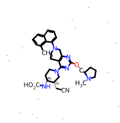 Cc1cccc2cccc(N3CCc4c(nc(OCC5CCCN5C)nc4N4CC[C@@H](NC(=O)O)[C@@H](CC#N)C4)C3)c12